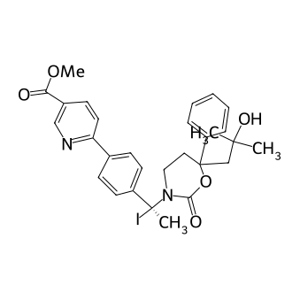 COC(=O)c1ccc(-c2ccc([C@](C)(I)N3CCC(CC(C)(C)O)(c4ccccc4)OC3=O)cc2)nc1